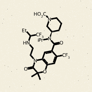 CCC(NCCN1C(=O)C(C)(C)Oc2cc(C(F)(F)F)c(C(=O)N(C(C)C)[C@@H]3CCCN(C(=O)O)C3)cc21)C(F)(F)F